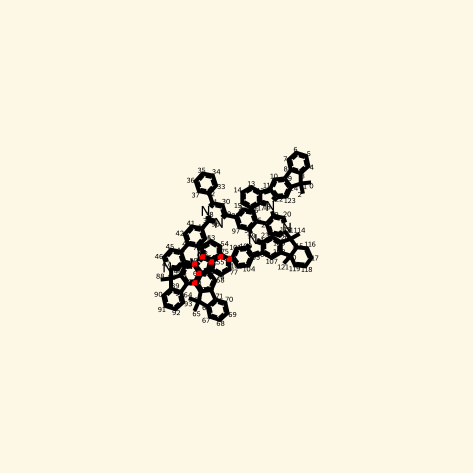 CC1(C)c2ccccc2-c2cc3c4ccccc4n(-c4cnccc4-c4ccc(-c5cc(-c6ccccc6)nc(-c6ccc(-c7ccncc7-n7c8ccccc8c8cc9c(cc87)C(C)(C)c7ccccc7-9)c(-n7c8ccccc8c8cc9c(cc87)C(C)(C)c7ccccc7-9)c6)n5)cc4-n4c5ccccc5c5cc6c(cc54)C(C)(C)C4C=CC=CC64C)c3cc21